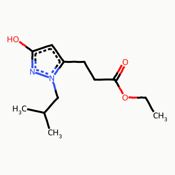 CCOC(=O)CCc1cc(O)nn1CC(C)C